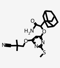 CSc1nc(OCC(C)(C)C#N)cc(OC(C(N)=O)C23CC4CC(CC(C4)C2)C3)n1